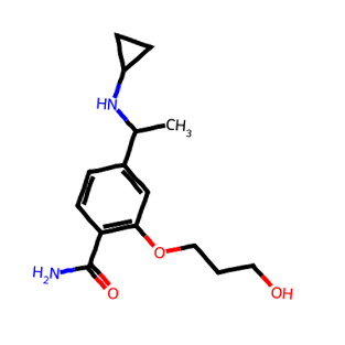 CC(NC1CC1)c1ccc(C(N)=O)c(OCCCO)c1